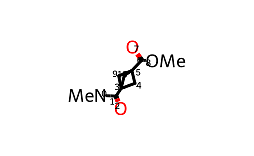 CNC(=O)C12CC(C(=O)OC)(C1)C2